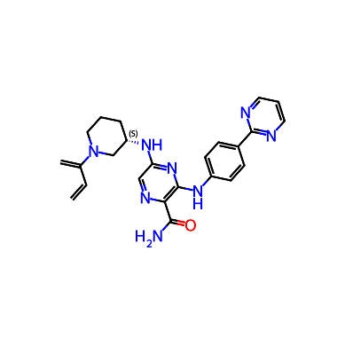 C=CC(=C)N1CCC[C@H](Nc2cnc(C(N)=O)c(Nc3ccc(-c4ncccn4)cc3)n2)C1